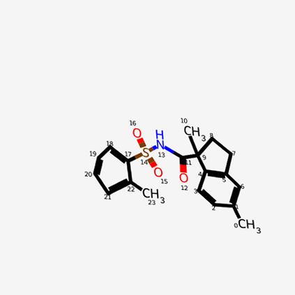 Cc1ccc2c(c1)CCC2(C)C(=O)NS(=O)(=O)c1ccccc1C